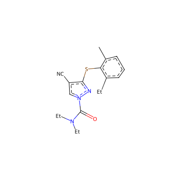 CCc1cccc(C)c1Sc1nn(C(=O)N(CC)CC)cc1C#N